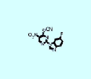 N#CSc1nc(-n2cnc3ccc(F)cc32)ncc1[N+](=O)[O-]